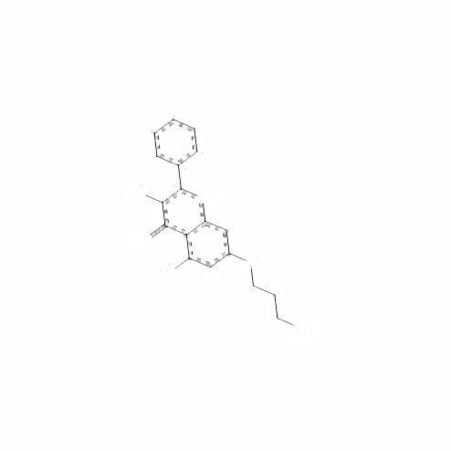 O=C(O)CCCOc1cc(O)c2c(=O)c(O)c(-c3ccccc3)oc2c1